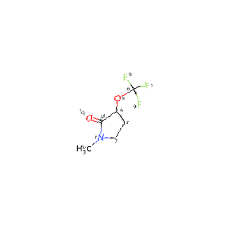 CN1C[CH]C(OC(F)(F)F)C1=O